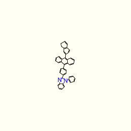 C1=Cc2ccc(-c3c4ccccc4c(-c4ccc(-c5nc6ccccc6n5-c5ccccc5)cc4)c4ccccc34)cc2CC1